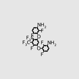 Nc1ccc(F)c(Oc2cc(Oc3c(F)ccc(N)c3F)c(C(F)(F)F)c(C(F)(F)F)c2F)c1F